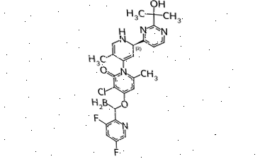 BC(Oc1cc(C)n(C2=C[C@H](c3ccnc(C(C)(C)O)n3)NC=C2C)c(=O)c1Cl)c1ncc(F)cc1F